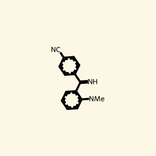 CNc1ccccc1C(=N)c1ccc(C#N)cc1